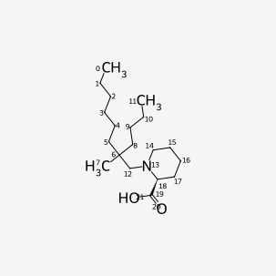 CCCCCCC(C)(CCCC)CN1CCCC[C@H]1C(=O)O